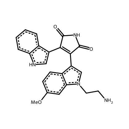 COc1ccc2c(C3=C(c4c[nH]c5ccccc45)C(=O)NC3=O)cn(CCN)c2c1